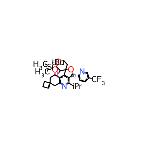 CC(C)c1nc2c(c3c1[C@@H](c1ccc(C(F)(F)F)cn1)OC31CCOCC1I)C(O[Si](C)(C)C(C)(C)C)CC1(CCC1)C2